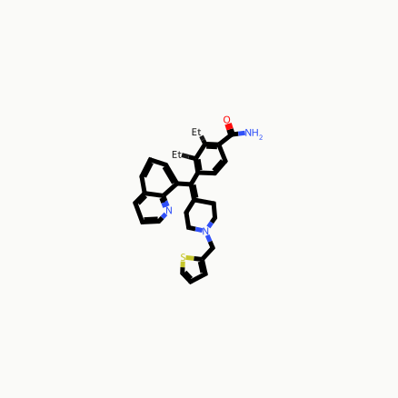 CCc1c(C(N)=O)ccc(C(=C2CCN(Cc3cccs3)CC2)c2cccc3cccnc23)c1CC